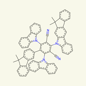 CC1(C)c2ccccc2-c2cc(-c3c(-n4c5ccccc5c5ccccc54)c(C#N)c(-n4c5ccccc5c5cc6c(cc54)C(C)(C)c4ccccc4-6)c(C#N)c3-n3c4ccccc4c4ccccc43)ccc21